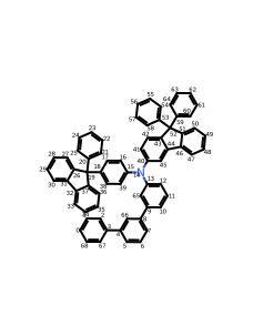 c1ccc(-c2cccc(-c3cccc(N(c4ccc(C5(c6ccccc6)c6ccccc6-c6ccccc65)cc4)c4ccc5c(c4)-c4ccccc4C5(c4ccccc4)c4ccccc4)c3)c2)cc1